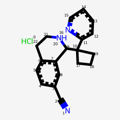 Cl.N#Cc1ccc2c(c1)C(C1(c3ccccn3)CCC1)NCC2